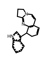 C1=CC2=C(N=C3CCCN3C=C2)C(c2c[nH]c3ccccc23)C1